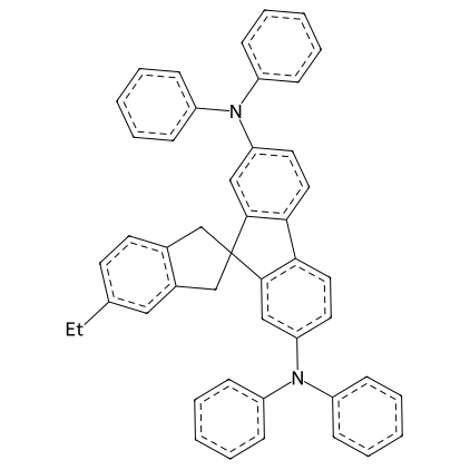 CCc1ccc2c(c1)CC1(C2)c2cc(N(c3ccccc3)c3ccccc3)ccc2-c2ccc(N(c3ccccc3)c3ccccc3)cc21